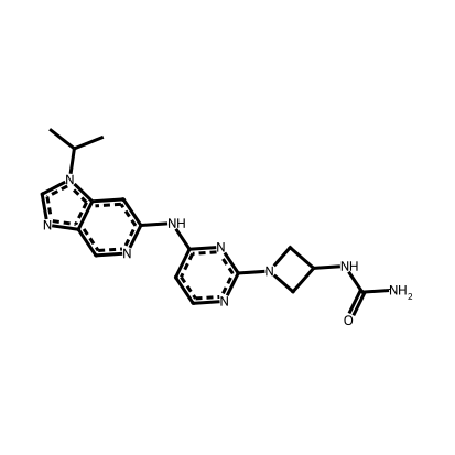 CC(C)n1cnc2cnc(Nc3ccnc(N4CC(NC(N)=O)C4)n3)cc21